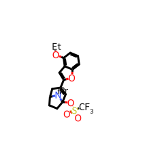 CCOc1cccc2oc(C3=CC4(OS(=O)(=O)C(F)(F)F)CCC(C3)N4C(C)C)cc12